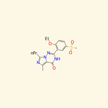 CCCc1nc(C)c2c(=O)[nH]c(-c3cc(S(C)(=O)=O)ccc3OCC)nn12